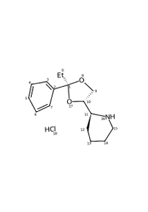 CC[C@]1(c2ccccc2)OC[C@H]([C@@H]2CCCCN2)O1.Cl